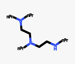 CCCNCCN(CCC)CCN(CCC)CCC